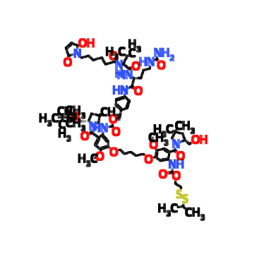 C=C1C[C@@H](CO[Si](C)(C)C(C)(C)C)N(C(=O)c2cc(OC)c(OCCCCCOc3cc(NC(=O)OCCSSC(C)C)c(C(=O)N4CC(C)(C)C[C@H]4CO)cc3OC)cc2NC(=O)OCc2ccc(NC(=O)[C@H](CCCNC(N)=O)NC(=O)[C@@H](NC(=O)CCCCCN3C(=O)C=CC3O)C(C)C)cc2)C1